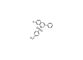 Cc1ccc(S(=O)(=O)N2CC(c3ccccc3)=Cc3ccc(F)cc32)cc1